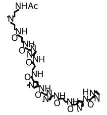 CC(=O)NCCCN(C)CCCNC(=O)CCNC(=O)c1nc(NC(=O)CCNC(=O)c2cc(NC(=O)c3nc(NC(=O)CCNC(=O)c4cc(NC(=O)c5nccn5C)cn4C)cn3C)cn2C)cn1C